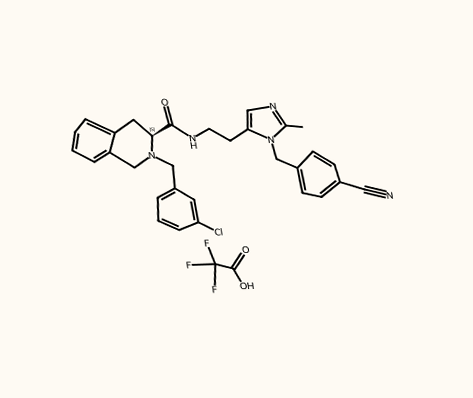 Cc1ncc(CCNC(=O)[C@@H]2Cc3ccccc3CN2Cc2cccc(Cl)c2)n1Cc1ccc(C#N)cc1.O=C(O)C(F)(F)F